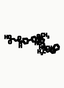 CN(C[C@H](O)CNC(C)(C)Cc1ccc2ccccc2c1)S(=O)(=O)c1ccc(-c2ccc(NC(=O)CCC(=O)O)cc2)cc1